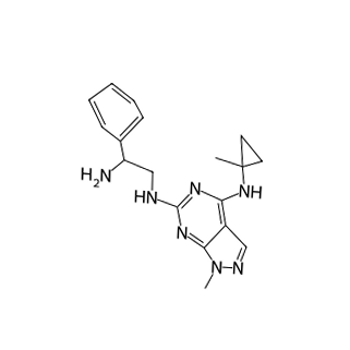 Cn1ncc2c(NC3(C)CC3)nc(NCC(N)c3ccccc3)nc21